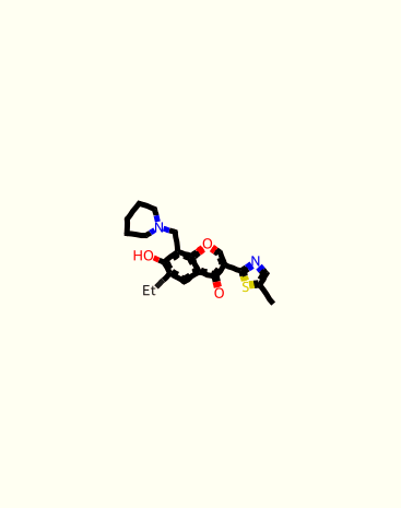 CCc1cc2c(=O)c(-c3ncc(C)s3)coc2c(CN2CCCCC2)c1O